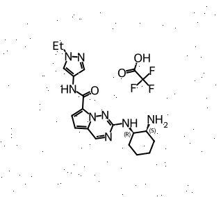 CCn1cc(NC(=O)c2ccc3cnc(N[C@@H]4CCCC[C@@H]4N)nn23)cn1.O=C(O)C(F)(F)F